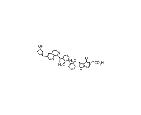 Cc1c(Nc2nccc3cc(CN4CC[C@@H](O)C4)cnc23)cccc1-c1cccc(-c2nc3c(=O)n(CC(=O)O)ccc3o2)c1C